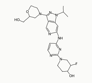 CC(C)n1nc(N2CCOC(CO)C2)c2cnc(Nc3ccnc(N4CCC(O)C(F)C4)n3)cc21